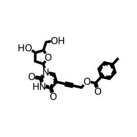 Cc1ccc(C(=O)OCC#Cc2cn(C3CC(O)C(CO)O3)c(=O)[nH]c2=O)cc1